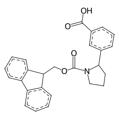 O=C(O)c1cccc(C2CCCN2C(=O)OCC2c3ccccc3-c3ccccc32)c1